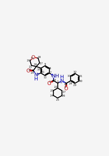 O=C(NC(C(=O)Nc1ccc2c(c1)NC(=O)C21CCOCC1)C1CCCCC1)c1ccccc1